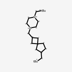 CC(C)(C)CC1CCC2(C1)CC(CN1CCN(CC(C)(C)C)CC1)C2